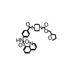 O=C(OCC1CCCO1)N1CCN(C(=O)c2ccc(NS(=O)(=O)c3cccc4cccnc34)cc2)CC1